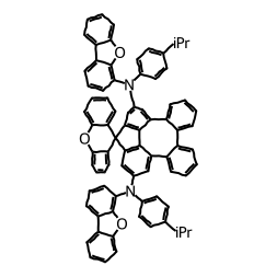 CC(C)c1ccc(N(c2cc3c4c(c2)C2(c5ccccc5Oc5ccccc52)c2cc(N(c5ccc(C(C)C)cc5)c5cccc6c5oc5ccccc56)cc(c2-4)-c2ccccc2-c2ccccc2-3)c2cccc3c2oc2ccccc23)cc1